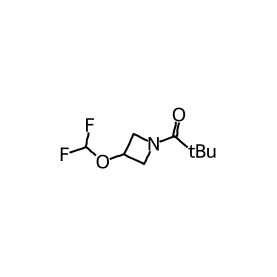 CC(C)(C)C(=O)N1CC(OC(F)F)C1